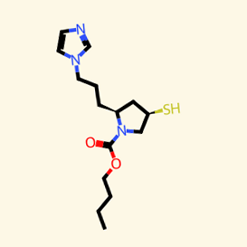 CCCCOC(=O)N1C[C@H](S)C[C@@H]1CCCn1ccnc1